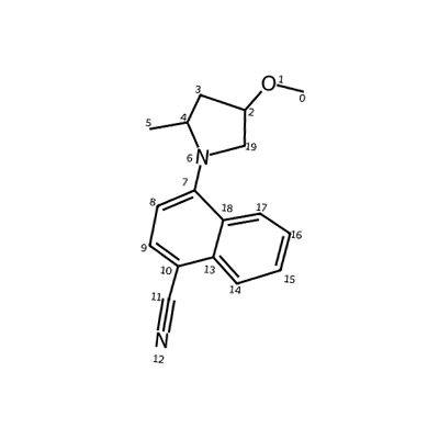 COC1CC(C)N(c2ccc(C#N)c3ccccc23)C1